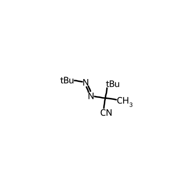 CC(C)(C)N=NC(C)(C#N)C(C)(C)C